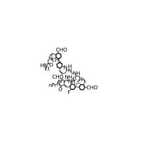 CCCN(CCC)C(=O)C1=Cc2c(F)cc(-c3ccc(C=O)c(/C=C\N(C)CC(=O)NCNC4=Nc5cc(-c6ccc(C=O)c(/C=C\N(C)CC(=O)NCC)c6)ccc5C=C(C=O)C4)c3)cc2N=C(N)C1